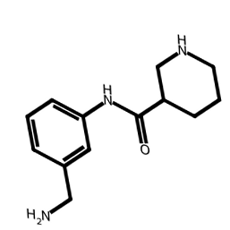 NCc1cccc(NC(=O)C2CCCNC2)c1